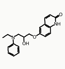 CCN(CC(O)COc1ccc2[nH]c(=O)ccc2c1)c1ccccc1